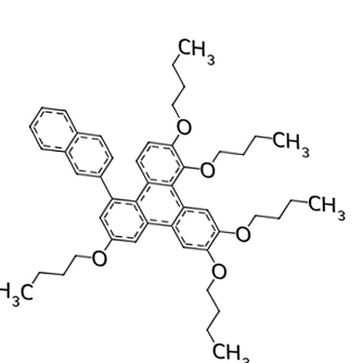 CCCCOc1cc(-c2ccc3ccccc3c2)c2c(c1)c1cc(OCCCC)c(OCCCC)cc1c1c(OCCCC)c(OCCCC)ccc21